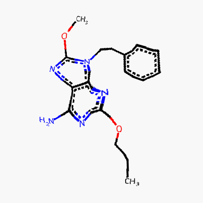 CCCOc1nc(N)c2nc(OC)n(Cc3ccccc3)c2n1